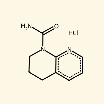 Cl.NC(=O)N1CCCc2cccnc21